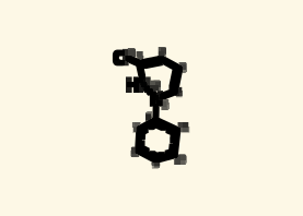 ClC1=CC=CN(c2ccccc2)N1